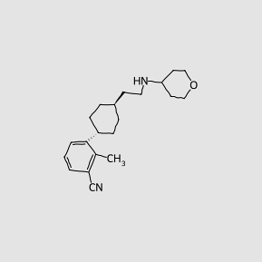 Cc1c(C#N)cccc1[C@H]1CC[C@H](CCNC2CCOCC2)CC1